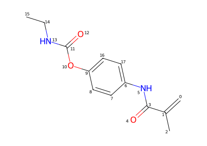 C=C(C)C(=O)Nc1ccc(OC(=O)NCC)cc1